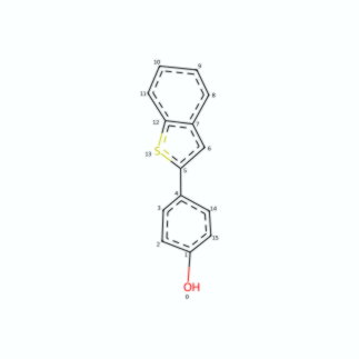 Oc1ccc(-c2cc3ccccc3s2)cc1